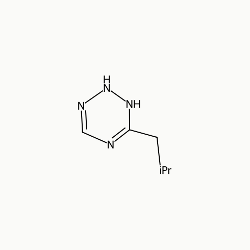 CC(C)CC1=NC=NNN1